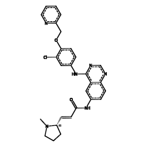 CN1CCC[C@H]1C=CC(=O)Nc1ccc2ncnc(Nc3ccc(OCc4ccccn4)c(Cl)c3)c2c1